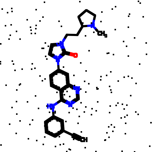 C#Cc1cccc(Nc2ncnc3cc(-n4ccn(CCC5CCCN5C)c4=O)ccc23)c1